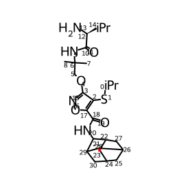 CC(C)Sc1c(OCC(C)(C)NC(=O)[C@@H](N)C(C)C)noc1C(=O)NC1C2CC3CC(C2)CC1C3